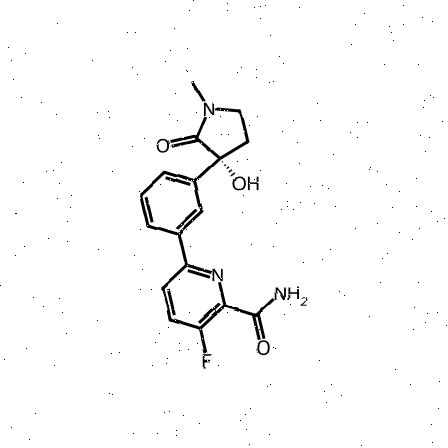 CN1CC[C@@](O)(c2cccc(-c3ccc(F)c(C(N)=O)n3)c2)C1=O